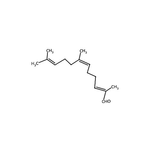 CC(C)=CCCC(C)=CCCC=C(C)C=O